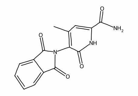 Cc1cc(C(N)=O)[nH]c(=O)c1N1C(=O)c2ccccc2C1=O